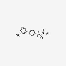 CCCNC(=O)C(C)(C)c1ccc(-c2cncc(C#N)c2)cc1